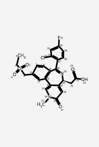 CCS(=O)(=O)Cc1ccc2c(c1)-c1cn(C)c(=O)cc1[C@H](CC(=O)O)N=C2c1ccc(F)cc1Cl